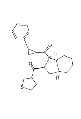 O=C([C@@H]1C[C@@H]2CCCC[C@@H]2N1C(=O)C1CC1c1ccccc1)N1CCSC1